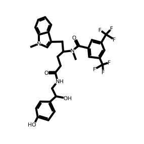 CN(C(=O)c1cc(C(F)(F)F)cc(C(F)(F)F)c1)C(CCC(=O)NCC(O)c1ccc(O)cc1)Cc1cn(C)c2ccccc12